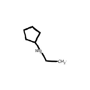 [CH2][CH2][Mg][CH]1CCCC1